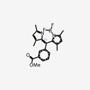 COC(=O)c1cccc(/C(=C2/N=C(C)C=C2C)c2c(C)cc(C)n2B(F)F)c1